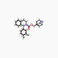 O=C(OCC12CCN(CC1)CC2)N1CCc2ccccc2[C@@H]1c1ccc(F)c(F)c1